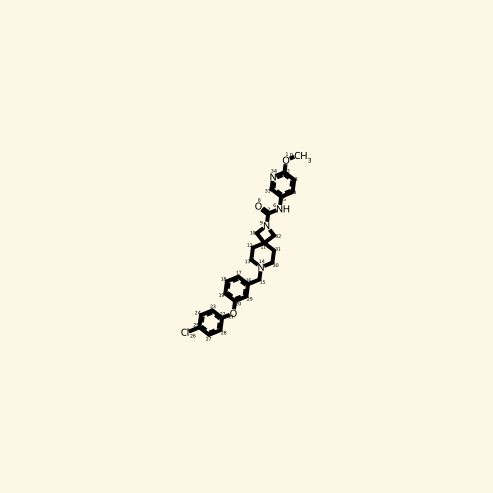 COc1ccc(NC(=O)N2CC3(CCN(Cc4cccc(Oc5ccc(Cl)cc5)c4)CC3)C2)cn1